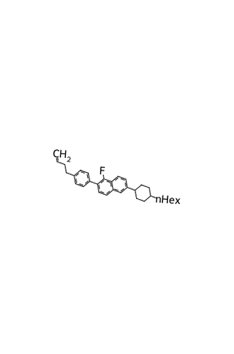 C=CCCc1ccc(-c2ccc3cc(C4CCC(CCCCCC)CC4)ccc3c2F)cc1